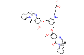 C=C1c2cc(OC)c(OCc3cc(COc4cc5c(cc4OC)C(=O)N4c6ccccc6C[C@H]4C=N5)cc(N(C)CCCC(=O)OC)c3)cc2N=C[C@@H]2Cc3ccccc3N12